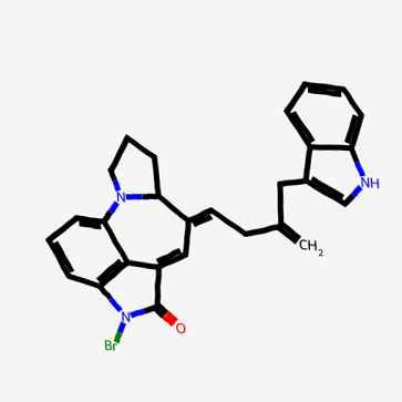 C=C(C/C=C1\C=C2C(=O)N(Br)c3cccc(c32)N2CCCC12)Cc1c[nH]c2ccccc12